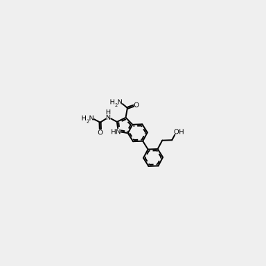 NC(=O)Nc1[nH]c2cc(-c3ccccc3CCO)ccc2c1C(N)=O